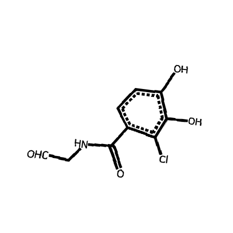 O=CCNC(=O)c1ccc(O)c(O)c1Cl